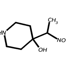 CC(N=O)C1(O)CCNCC1